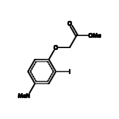 CNc1ccc(OCC(=O)OC)c(I)c1